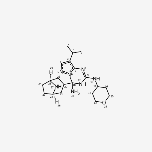 CC(C)c1cnn2c1N=C(NC1CCOCC1)NC2(N)C1C[C@H]2CC[C@@H](C1)N2